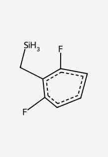 Fc1cccc(F)c1C[SiH3]